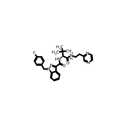 CC(C)(C)[C@H](NC(=O)c1nn(Cc2ccc(F)cc2)c2ccccc12)C(=O)NCCc1cnccn1